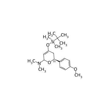 COc1ccc([C@@H]2CC(O[Si](C)(C)C(C)(C)C)=CC(N(C)C)O2)cc1